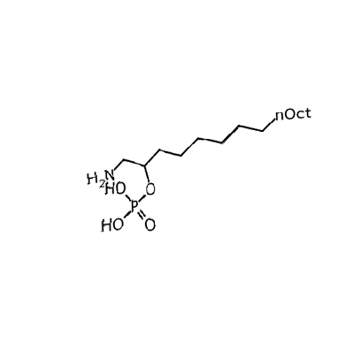 CCCCCCCCCCCCCCC(CN)OP(=O)(O)O